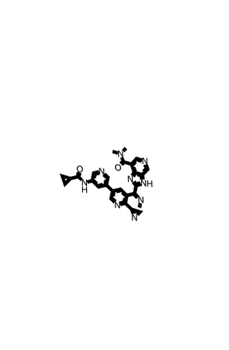 C/N=C(/c1nc2c(C(=O)N(C)C)cncc2[nH]1)c1cc(-c2cncc(NC(=O)C3CC3)c2)cnc1C1=NC1